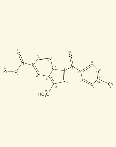 CC(C)OC(=O)c1ccn2c(C(=O)c3ccc(C#N)cc3)cc(C(=O)O)c2c1